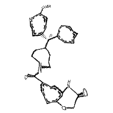 COc1cc([C@H](c2ccccc2)C2CCN(C(=O)c3ccc4c(c3)NC(=O)CO4)CC2)ccn1